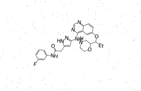 CCC(Oc1ccc2ncnc(Nc3cc(CC(=O)Nc4cccc(F)c4)[nH]n3)c2c1)C1CNCCO1